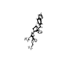 CCOC(=O)c1sc(N2CCN(Cc3ccc4nsnc4c3)C2=O)nc1C